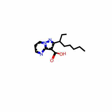 CCCCCC(CC)c1nn2cccnc2c1C(=O)O